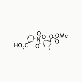 COC(=O)Oc1cc(C)cc2c(=O)n(-c3cccc(C(=O)O)c3)c(=O)oc12